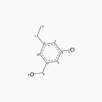 CCc1cc(Cl)cc(C[O])c1